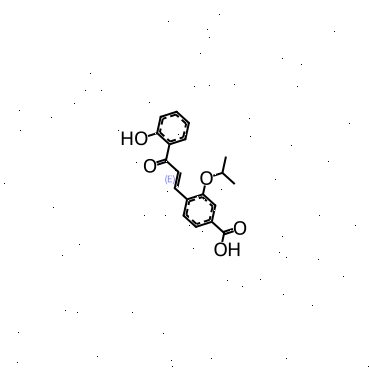 CC(C)Oc1cc(C(=O)O)ccc1/C=C/C(=O)c1ccccc1O